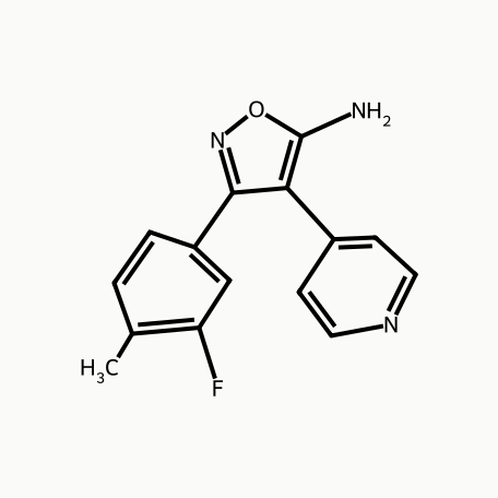 Cc1ccc(-c2noc(N)c2-c2ccncc2)cc1F